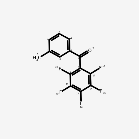 Cc1cccc(C(=O)c2c(F)c(F)c(F)c(F)c2F)c1